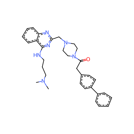 CN(C)CCCNc1nc(CN2CCN(C(=O)Cc3ccc(-c4ccccc4)cc3)CC2)nc2ccccc12